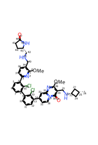 COc1nc(-c2cccc(-c3cccc(-c4ccn5c(=O)c(CN[C@H]6C[C@@H](C)C6)c(OC)nc5c4)c3Cl)c2Cl)ccc1CNC[C@@H]1CCC(=O)N1